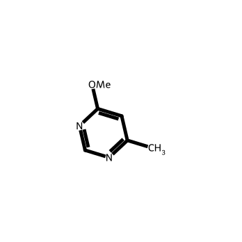 [CH2]Oc1cc(C)ncn1